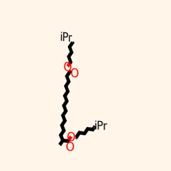 CC(C)CCCCCOC(=O)CCCCCCCCCCCCCC(C)C(=O)OCCCCCC(C)C